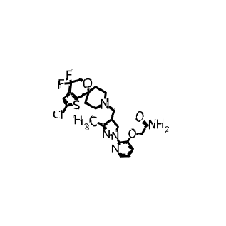 CC1=NN(c2ncccc2OCC(N)=O)CC1CN1CCC2(CC1)OCC(F)(F)c1cc(Cl)sc12